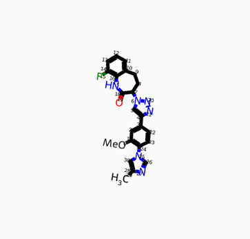 COc1cc(-c2cn(C3CCc4cccc(F)c4NC3=O)nn2)ccc1-n1cnc(C)c1